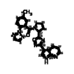 Cc1ccc(-n2nccn2)c(C(=O)N2CCCC2c2nc(-c3c[nH]c4ncccc34)no2)c1